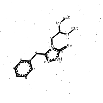 CCOC(Cn1c(Cc2ccccc2)n[nH]c1=S)OCC